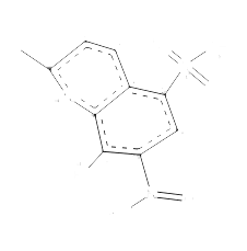 Cc1ccc2c(S(=O)(=O)O)cc([N+](=O)[O-])c(O)c2n1